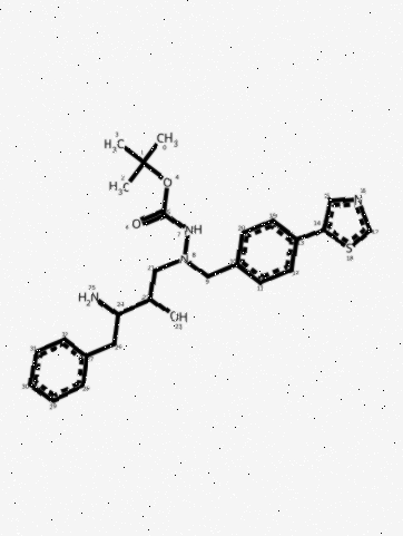 CC(C)(C)OC(=O)NN(Cc1ccc(-c2cncs2)cc1)CC(O)C(N)Cc1ccccc1